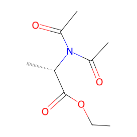 CCOC(=O)[C@H](C)N(C(C)=O)C(C)=O